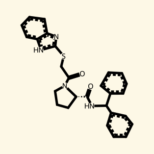 O=C(NC(c1ccccc1)c1ccccc1)[C@@H]1CCCN1C(=O)CSc1nc2ccccc2[nH]1